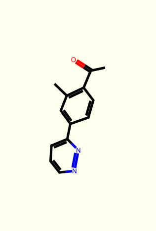 CC(=O)c1ccc(-c2cccnn2)cc1C